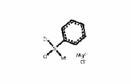 CC[Si]([O-])(CC)c1ccccc1.[Cl-].[Mg+2]